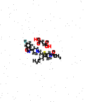 CCCc1c(CCN2CCC(c3noc4cc(F)ccc34)CC2)sc2c1CCN(C(C)=O)C2.O=C(O)/C=C/C(=O)O